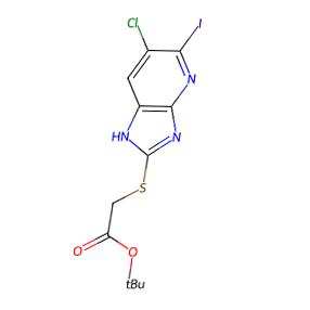 CC(C)(C)OC(=O)CSc1nc2nc(I)c(Cl)cc2[nH]1